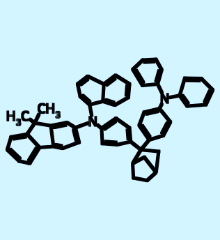 CC1(C)c2ccccc2-c2ccc(N(c3ccc(C4(c5ccc(N(c6ccccc6)c6ccccc6)cc5)CC5CCC4C5)cc3)c3cccc4ccccc34)cc21